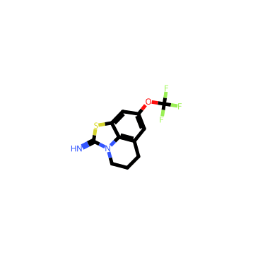 N=c1sc2cc(OC(F)(F)F)cc3c2n1CCC3